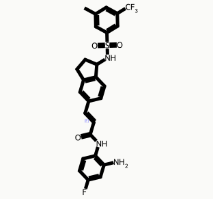 Cc1cc(C(F)(F)F)cc(S(=O)(=O)NC2CCc3cc(/C=C/C(=O)Nc4ccc(F)cc4N)ccc32)c1